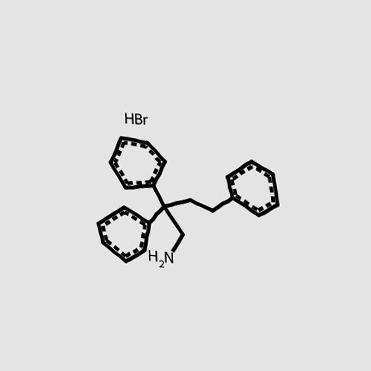 Br.NCC(CCc1ccccc1)(c1ccccc1)c1ccccc1